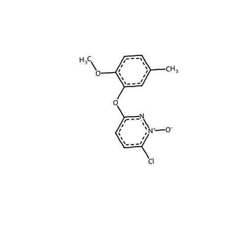 COc1ccc(C)cc1Oc1ccc(Cl)[n+]([O-])n1